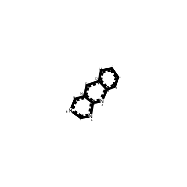 c1ccc2nc3ncncc3cc2c1